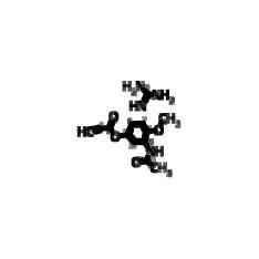 C#CC(=O)Oc1ccc(OC)c(NC(C)=O)c1.N=C(N)N